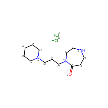 Cl.Cl.O=C1CCNCCN1CCCN1CCCCC1